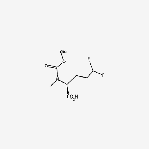 CN(C(=O)OC(C)(C)C)[C@@H](CCC(F)F)C(=O)O